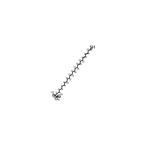 CO[Si](CCCCCCCCCCCCCCCCCCCCCCCCCCS)(OC)OC